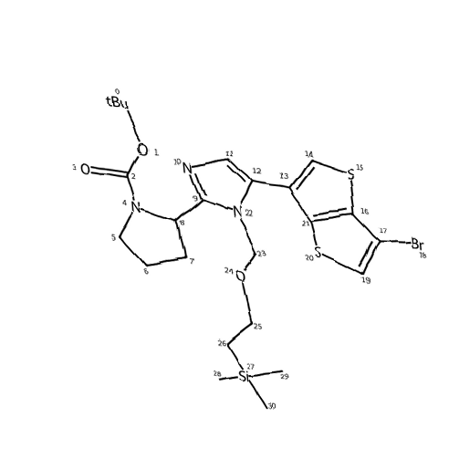 CC(C)(C)OC(=O)N1CCCC1c1ncc(-c2csc3c(Br)csc23)n1COCC[Si](C)(C)C